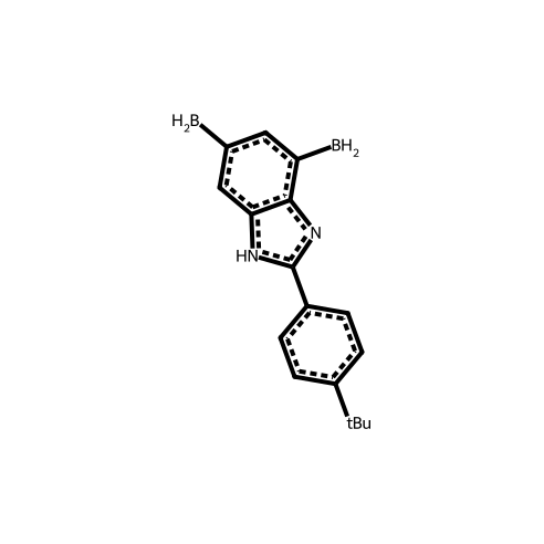 Bc1cc(B)c2nc(-c3ccc(C(C)(C)C)cc3)[nH]c2c1